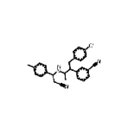 Cc1ccc([C@H](CC#N)NC(C)C(Cc2ccc(Cl)cc2)c2cccc(C#N)c2)cc1